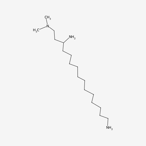 CN(C)CCC(N)CCCCCCCCCCCCN